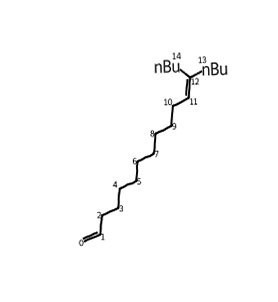 C=CCCCCCCCCCC=C(CCCC)CCCC